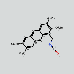 COc1cc2cc3cc(OC)c(OC)c(CN=C=O)c3cc2cc1OC